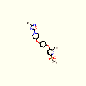 Cc1nc(S(C)(=O)=O)ccc1OC1CCC(OC2CCN(c3nc(C(C)C)no3)CC2)CC1